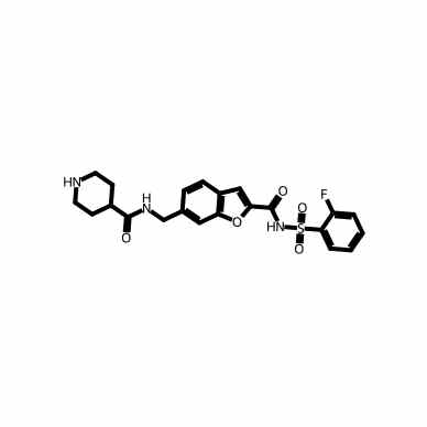 O=C(NS(=O)(=O)c1ccccc1F)c1cc2ccc(CNC(=O)C3CCNCC3)cc2o1